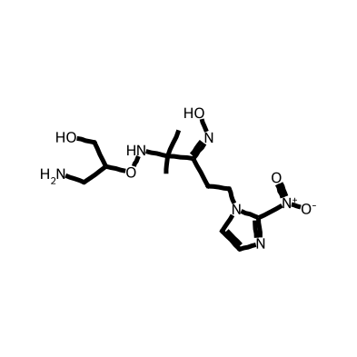 CC(C)(NOC(CN)CO)C(CCn1ccnc1[N+](=O)[O-])=NO